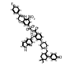 CC1(C)CCC(CN2CCN(c3ccc(C(=O)NS(=O)(=O)c4cc5c(c([N+](=O)[O-])c4)N[C@H](C4=CCC(F)C=C4)CO5)c(Oc4cnc5[nH]ccc5c4)c3)CC2)=C(c2ccc(Cl)cc2)C1